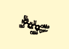 CCc1nc(C(C)CC)c(-c2ccnc(Nc3cc(OC)c(OC)c(OC)c3)n2)s1